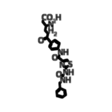 NC(CCC(=O)c1ccc(NC(=O)c2csc(NC(=O)NCc3ccccc3)n2)cc1)CC(=O)O